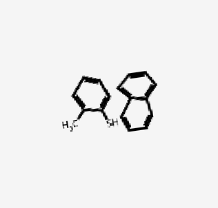 Cc1ccccc1S.c1ccc2ccccc2c1